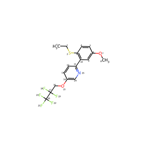 CCSc1ccc(OC)cc1-c1ccc(OCC(F)(F)C(F)(F)F)cn1